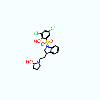 O=S(=O)(c1cc(Cl)cc(Cl)c1O)N1CC(CCN2CCCC2O)c2ccccc21